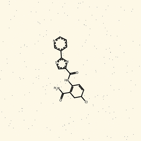 NC(=O)C1=C(NC(=O)c2csc(-c3cccnc3)n2)C=CC(Cl)C1